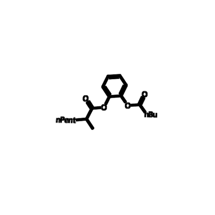 CCCCCC(C)C(=O)Oc1ccccc1OC(=O)CCCC